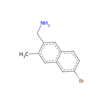 Cc1cc2cc(Br)ccc2cc1CN